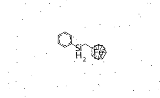 c1ccc([SiH2]C[C]23[CH]4[CH]5[CH]6[CH]2[Fe]56432789[CH]3[CH]2[CH]7[CH]8[CH]39)cc1